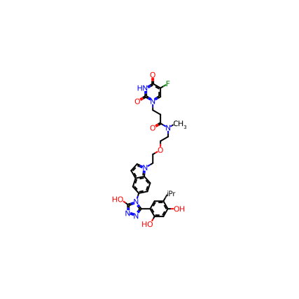 CC(C)c1cc(-c2nnc(O)n2-c2ccc3c(ccn3CCOCCN(C)C(=O)CCn3cc(F)c(=O)[nH]c3=O)c2)c(O)cc1O